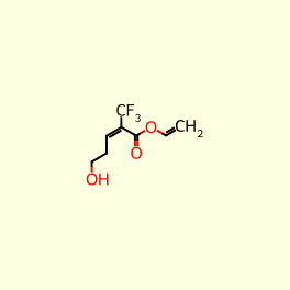 C=COC(=O)C(=CCCO)C(F)(F)F